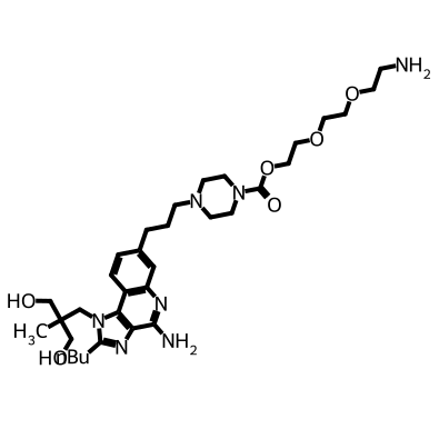 CCCCc1nc2c(N)nc3cc(CCCN4CCN(C(=O)OCCOCCOCCN)CC4)ccc3c2n1CC(C)(CO)CO